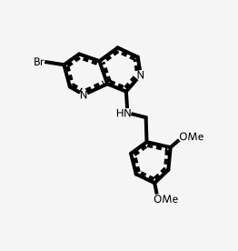 COc1ccc(CNc2nccc3cc(Br)cnc23)c(OC)c1